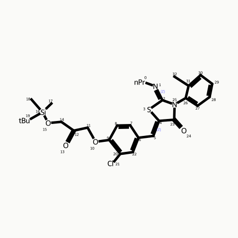 CCC/N=C1\S/C(=C\c2ccc(OCC(=O)CO[Si](C)(C)C(C)(C)C)c(Cl)c2)C(=O)N1c1ccccc1C